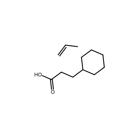 C=CC.O=C(O)CCC1CCCCC1